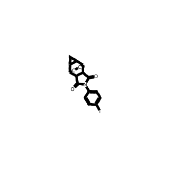 O=C1C2C3CCC(C4CC43)C2C(=O)N1c1ccc(I)cc1